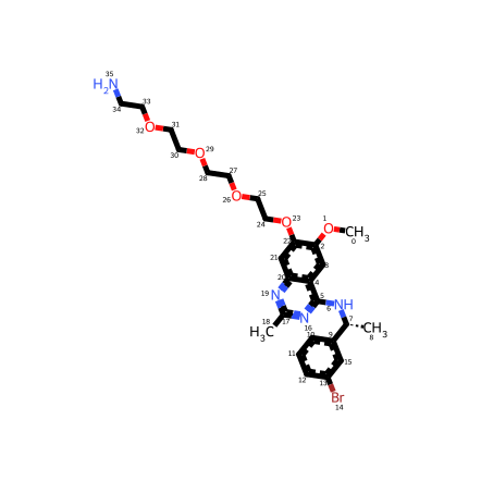 COc1cc2c(N[C@H](C)c3cccc(Br)c3)nc(C)nc2cc1OCCOCCOCCOCCN